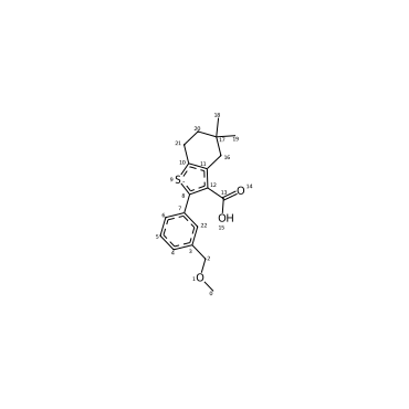 COCc1cccc(-c2sc3c(c2C(=O)O)CC(C)(C)CC3)c1